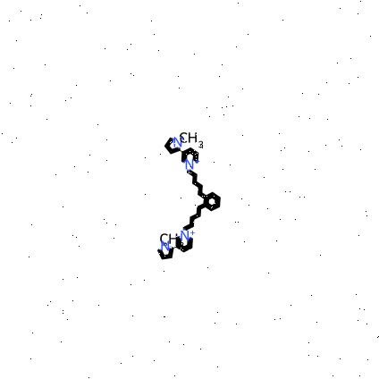 CN1CCC[C@H]1c1ccc[n+](CCCCCc2ccccc2CCCCC[n+]2cccc([C@@H]3CCCN3C)c2)c1